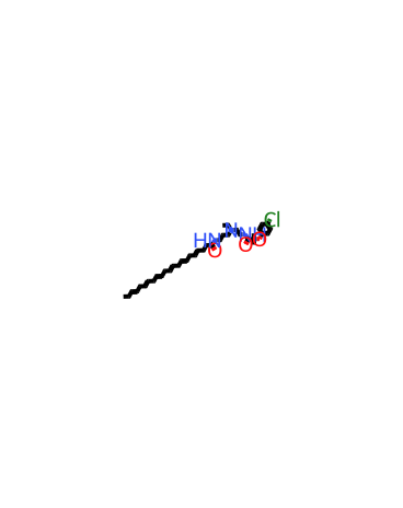 CCC=CCC=CCC=CCC=CCC=CCC=CCCC(=O)NCCCN(CC)CCNC(=O)C(C)(C)Oc1ccc(Cl)cc1